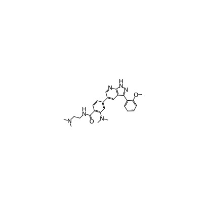 COc1ccccc1-c1n[nH]c2ncc(-c3ccc(C(=O)NCCN(C)C)c(N(C)C)c3)cc12